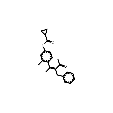 CC(=O)/C(Cc1ccccc1)=C(/C)c1ccc(OC(=O)C2CC2)cc1C